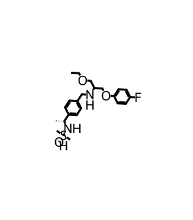 CCOCC(COc1ccc(F)cc1)NCc1ccc([C@@H](C)N[SH](C)(C)=O)cc1